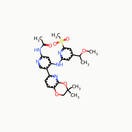 COC(C)c1cc(Nc2cc(NC(C)=O)ncc2-c2ccc3c(n2)OC(C)(C)CO3)nc(S(C)(=O)=O)c1